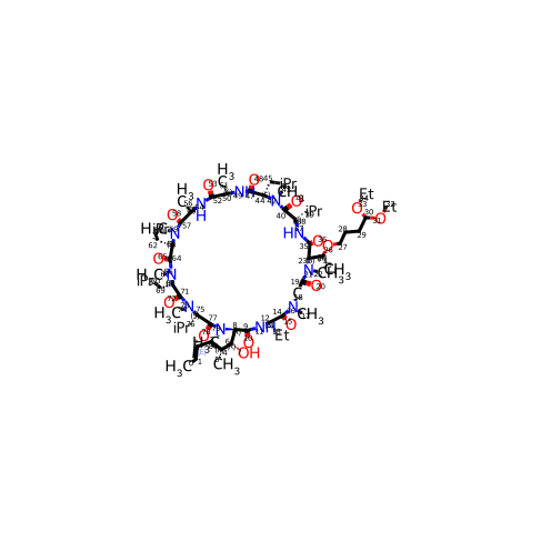 C/C=C/C[C@@H](C)[C@@H](O)[C@@H]1C(=O)N[C@@H](CC)C(=O)N(C)CC(=O)N(C)[C@@H]([C@@H](C)OCCCC(OCC)OCC)C(=O)N[C@@H](C(C)C)C(=O)N(C)[C@@H](CC(C)C)C(=O)N[C@@H](C)C(=O)N[C@H](C)C(=O)N(C)[C@@H](CC(C)C)C(=O)N(C)[C@@H](CC(C)C)C(=O)N(C)[C@@H](C(C)C)C(=O)N1C